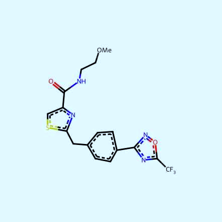 COCCNC(=O)c1csc(Cc2ccc(-c3noc(C(F)(F)F)n3)cc2)n1